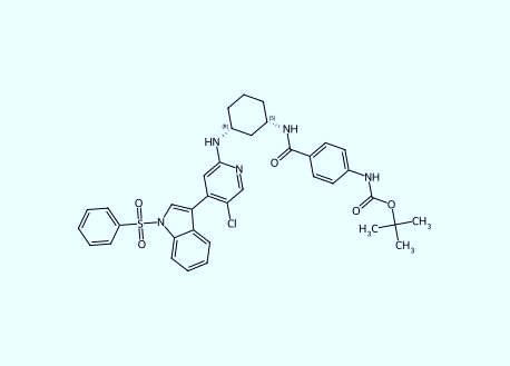 CC(C)(C)OC(=O)Nc1ccc(C(=O)N[C@H]2CCC[C@@H](Nc3cc(-c4cn(S(=O)(=O)c5ccccc5)c5ccccc45)c(Cl)cn3)C2)cc1